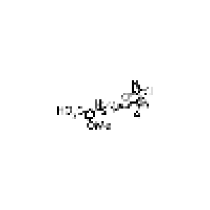 COc1cc(C(=O)O)cc(-c2nnc(N3CC4C(/C=C/c5c(-c6c(Cl)cncc6Cl)noc5C5CC5)C4C3)s2)c1